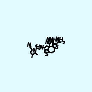 C=C(N)c1cc2c(s1)CCc1sccc1C2(C[C@H](C)NCC(=C)N1C(C#N)C[C@H](C)C1C)c1nn[nH]n1